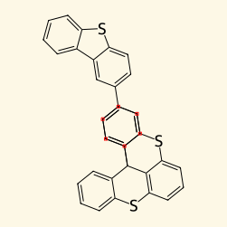 c1ccc2c(c1)Sc1cccc3c1C2(c1ccc(-c2ccc4sc5ccccc5c4c2)cc1)c1ccccc1S3